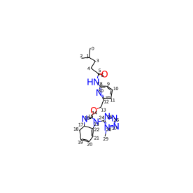 CC(C)CCC(=O)Nc1cccc(COC2=NC3CC=CC=C3N2c2nnnn2C)n1